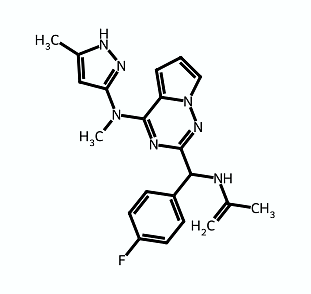 C=C(C)NC(c1ccc(F)cc1)c1nc(N(C)c2cc(C)[nH]n2)c2cccn2n1